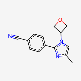 Cc1cn(C2COC2)c(-c2ccc(C#N)cc2)n1